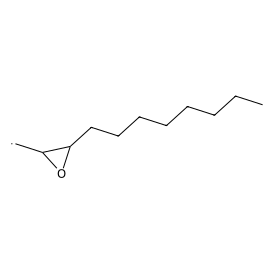 [CH2]C1OC1CCCCCCCC